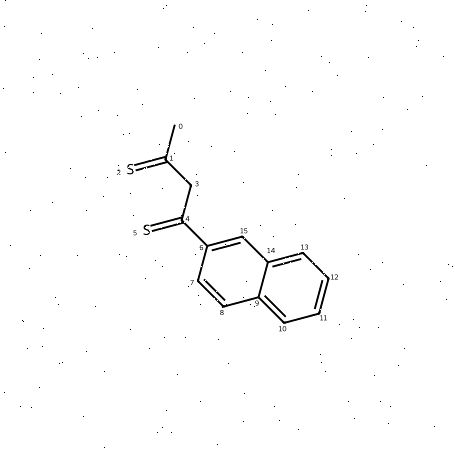 CC(=S)CC(=S)c1ccc2ccccc2c1